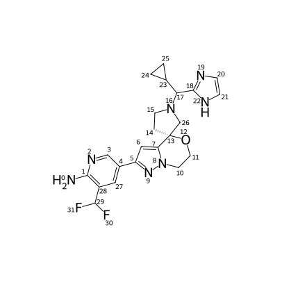 Nc1ncc(-c2cc3n(n2)CCO[C@@]32CCN(C(c3ncc[nH]3)C3CC3)C2)cc1C(F)F